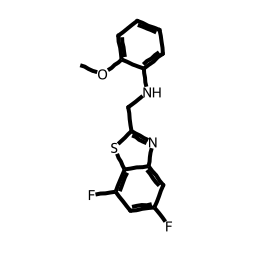 COc1ccccc1NCc1nc2cc(F)cc(F)c2s1